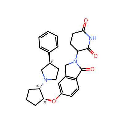 O=C1CCC(N2Cc3cc(O[C@H]4CCC[C@@H]4N4CC[C@H](c5ccccc5)C4)ccc3C2=O)C(=O)N1